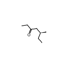 CCC(=O)C[C@@H](C)CC